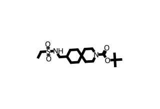 CCS(=O)(=O)NCC1CCC2(CC1)CCN(C(=O)OC(C)(C)C)CC2